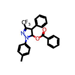 Cc1ccc(N2N=C(C(F)(F)F)C(c3ccccc3)C2OC(=O)c2ccccc2)cc1